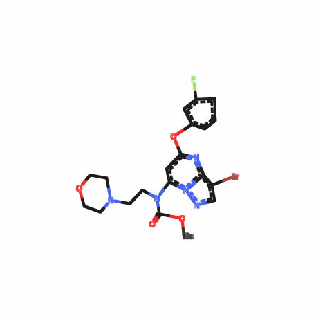 CC(C)(C)OC(=O)N(CCN1CCOCC1)c1cc(Oc2cccc(F)c2)nc2c(Br)cnn12